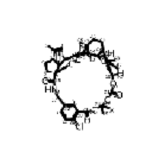 C=C(C)[C@@H]1CC[C@@]23CC[C@]4(C)[C@H](CC[C@@H]5[C@@]6(C)CC[C@H](OC(=O)CC(C)(C)CC(=O)c7cc(ccc7Cl)CNC2=O)C(C)(C)[C@@H]6CC[C@]54C)[C@@H]13